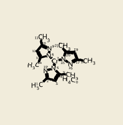 C.Cc1cc(C)[n]([Cr]([n]2nc(C)cc2C)[n]2nc(C)cc2C)n1